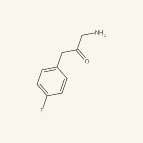 NCC(=O)Cc1ccc(F)cc1